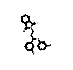 O=C1c2ccccc2C(=O)N1CCC(Oc1cccc(F)c1)c1cccc(F)c1